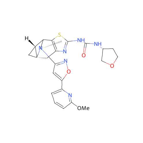 COc1cccc(-c2cc(N3[C@@H](C)C4c5sc(NC(=O)N[C@@H]6CCOC6)nc5C[C@@]35C[C@H]45)no2)n1